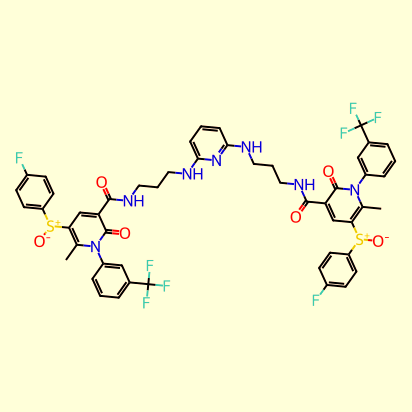 Cc1c([S+]([O-])c2ccc(F)cc2)cc(C(=O)NCCCNc2cccc(NCCCNC(=O)c3cc([S+]([O-])c4ccc(F)cc4)c(C)n(-c4cccc(C(F)(F)F)c4)c3=O)n2)c(=O)n1-c1cccc(C(F)(F)F)c1